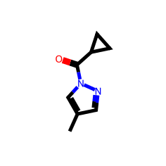 Cc1cnn(C(=O)C2CC2)c1